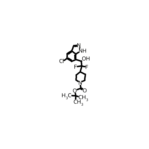 CC(C)(C)OC(=O)N1CCC(C(F)(F)C(O)c2cc(Cl)cc3cn[nH]c23)CC1